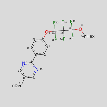 CCCCCCCCCCc1cnc(-c2ccc(OC(F)(F)C(F)(F)C(F)(F)OCCCCCC)cc2)nc1